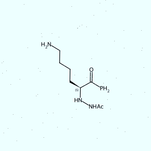 CC(=O)NN[C@@H](CCCCN)C(=O)P